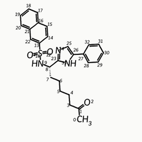 CC(=O)CCCCC[C@H](NS(=O)(=O)c1ccc2ccccc2c1)c1ncc(-c2ccccc2)[nH]1